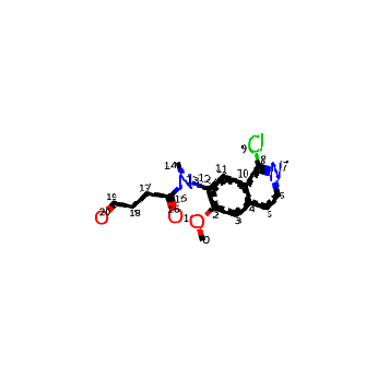 COc1cc2ccnc(Cl)c2cc1N(C)C(=O)CCC=O